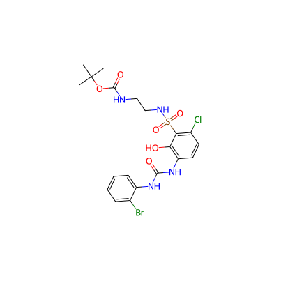 CC(C)(C)OC(=O)NCCNS(=O)(=O)c1c(Cl)ccc(NC(=O)Nc2ccccc2Br)c1O